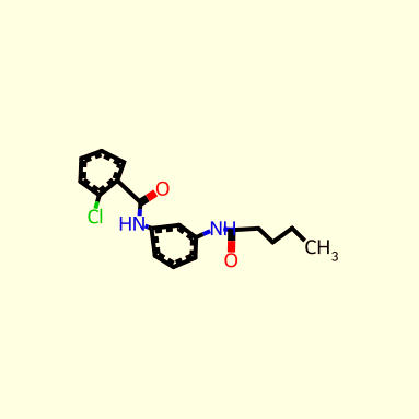 CCCCC(=O)Nc1cccc(NC(=O)c2ccccc2Cl)c1